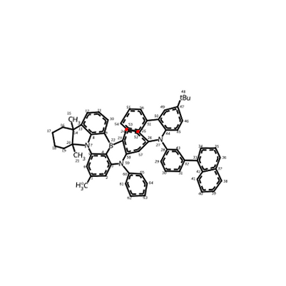 Cc1cc2c3c(c1)N1c4c(cccc4C4(C)CCCCC14C)B3c1ccc(N(c3cccc(-c4cccc5ccccc45)c3)c3ccc(C(C)(C)C)cc3-c3ccccc3)cc1N2c1ccccc1